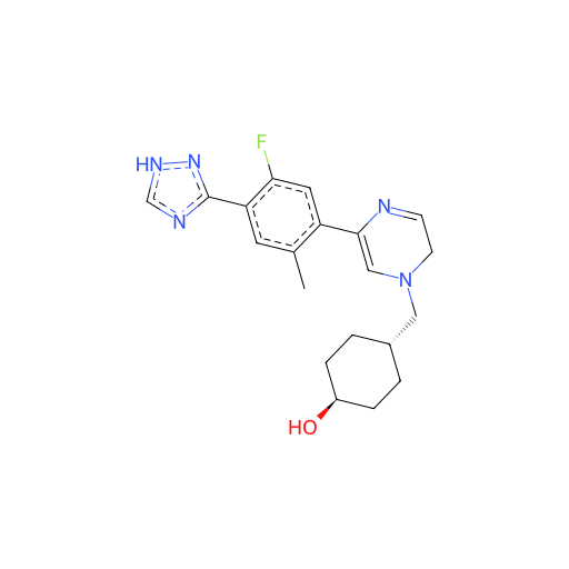 Cc1cc(-c2nc[nH]n2)c(F)cc1C1=CN(C[C@H]2CC[C@H](O)CC2)CC=N1